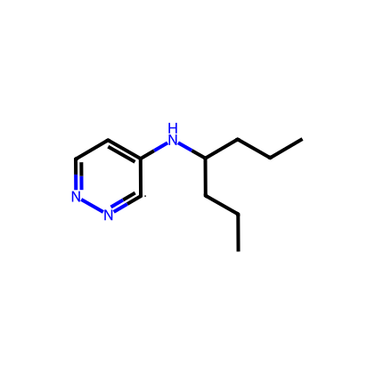 CCCC(CCC)Nc1[c]nncc1